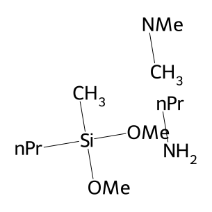 CCCN.CCC[Si](C)(OC)OC.CNC